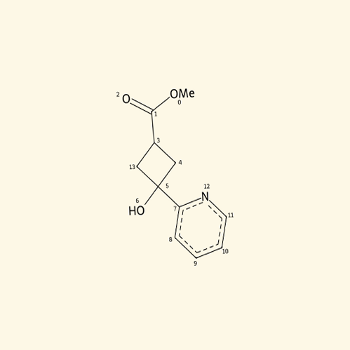 COC(=O)C1CC(O)(c2ccccn2)C1